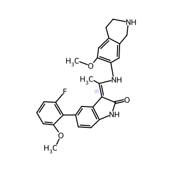 COc1cc2c(cc1N/C(C)=C1\C(=O)Nc3ccc(-c4c(F)cccc4OC)cc31)CNCC2